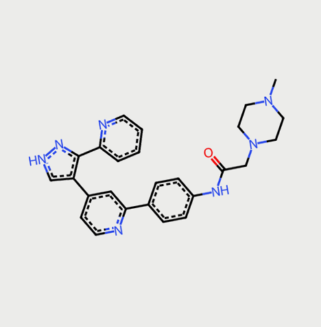 CN1CCN(CC(=O)Nc2ccc(-c3cc(-c4c[nH]nc4-c4ccccn4)ccn3)cc2)CC1